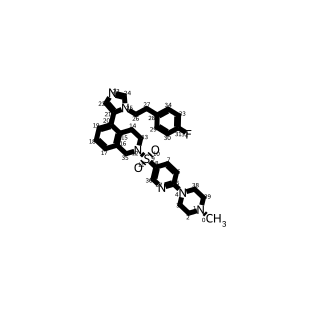 CN1CCN(c2ccc(S(=O)(=O)N3CCc4c(cccc4-c4cncn4CCc4ccc(F)cc4)C3)cn2)CC1